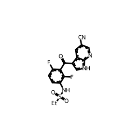 CCS(=O)(=O)Nc1ccc(F)c(C(=O)c2c[nH]c3ncc(C#N)cc23)c1F